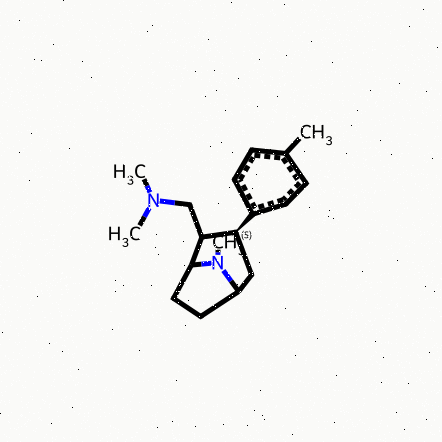 Cc1ccc([C@H]2CC3CCC(C2CN(C)C)N3C)cc1